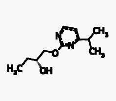 CC[C@@H](O)COc1nccc(C(C)C)n1